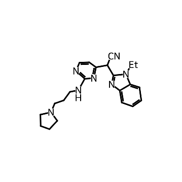 CCn1c(C(C#N)c2ccnc(NCCCN3CCCC3)n2)nc2ccccc21